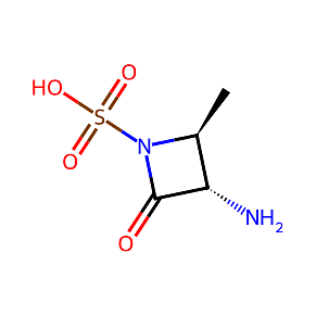 C[C@H]1[C@H](N)C(=O)N1S(=O)(=O)O